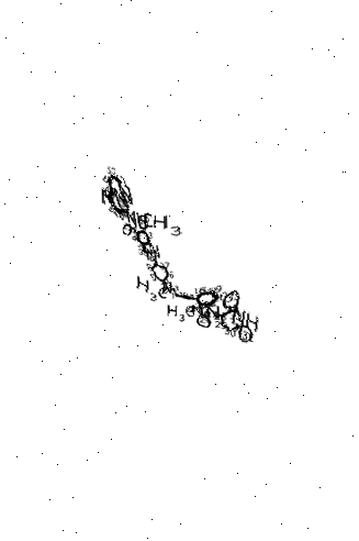 COc1cc2nn(C3CCC(N(C)CCC#Cc4cccc5c4n(C)c(=O)n5C4CCC(=O)NC4=O)CC3)cc2cc1C(=O)Nc1cnc2cccnn12